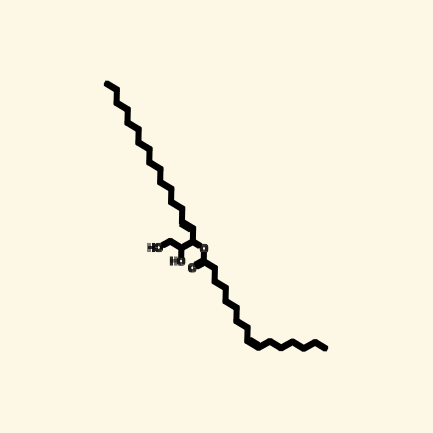 CCCCCC/C=C\CCCCCCCC(=O)O[C](C=CCCCCCCCCCCCCCC)C(O)CO